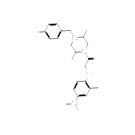 Cc1cc(N(C)C)ccc1OCC(=O)N1CC(C)N(Cc2ccc(F)cc2)CC1C